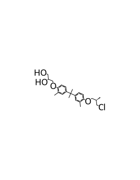 Cc1cc(C(C)(C)c2ccc(OC[C@@H](O)CO)c(C)c2)ccc1OC[C@@H](C)CCl